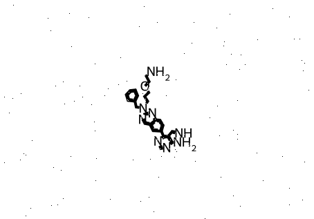 N=Cc1c(N)ncnc1-c1ccc2nc(N(CCCOCCN)Cc3ccccc3)ncc2c1